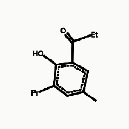 CCC(=O)c1cc(C)cc(C(C)C)c1O